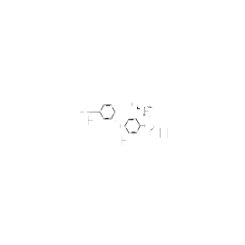 COc1cc(F)c(Oc2cccc(C(F)(F)F)c2)cc1[N+](=O)[O-]